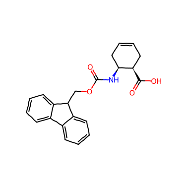 O=C(N[C@H]1CC=CC[C@H]1C(=O)O)OCC1c2ccccc2-c2ccccc21